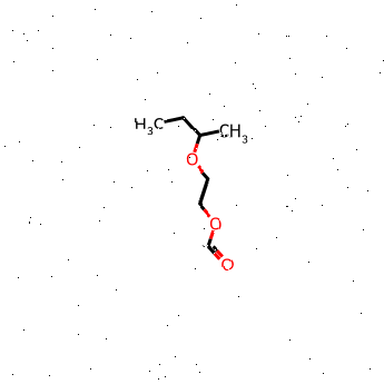 CCC(C)OCCO[C]=O